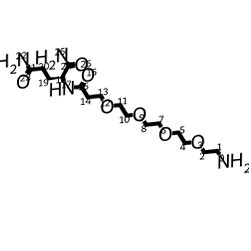 NCCOCCOCCOCCOCCC(=O)N[C@@H](CCC(N)=O)C(N)=O